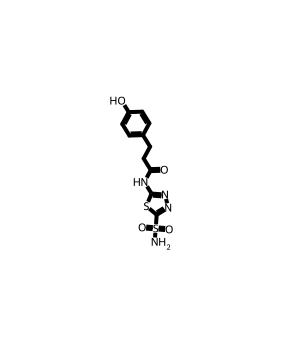 NS(=O)(=O)c1nnc(NC(=O)CCc2ccc(O)cc2)s1